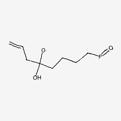 C=CCC([O])(O)CCCCP=O